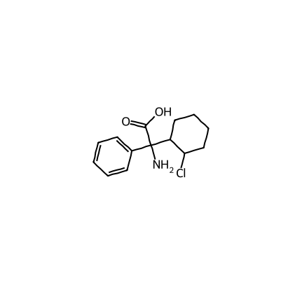 NC(C(=O)O)(c1ccccc1)C1CCCCC1Cl